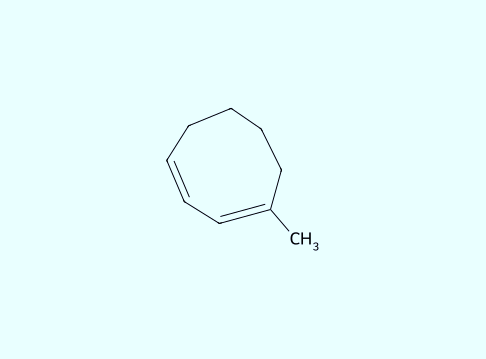 CC1=CC=CCCCC1